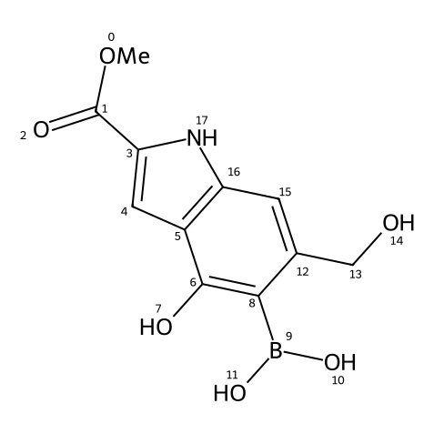 COC(=O)c1cc2c(O)c(B(O)O)c(CO)cc2[nH]1